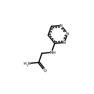 NC(=O)CNc1ccnnn1